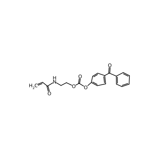 C=CC(=O)NCCOC(=O)Oc1ccc(C(=O)c2ccccc2)cc1